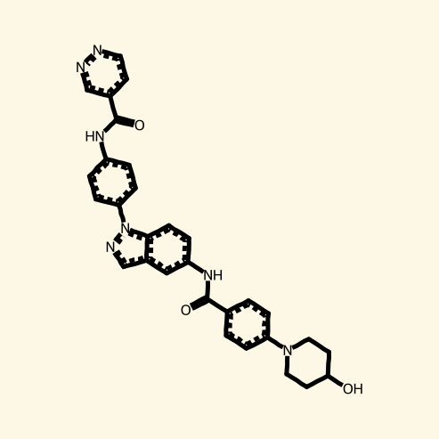 O=C(Nc1ccc2c(cnn2-c2ccc(NC(=O)c3ccnnc3)cc2)c1)c1ccc(N2CCC(O)CC2)cc1